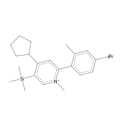 Cc1cc(C(C)C)ccc1-c1cc(C2CCCC2)c([Si](C)(C)C)c[n+]1C